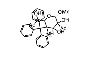 CO[C@H]1O[C@H](C(O)C(C)=O)[C@@](O)(C(c2ccccc2)(c2ccccc2)c2ccccc2)[C@@](O)(C(C)=O)[C@]1(O)C(C)=O